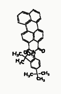 CC(C)(C)c1ccc(N2C(=O)c3ccc4c5cccc6cccc(c7ccc(c3c47)C2=O)c65)c(C(C)(C)C)c1